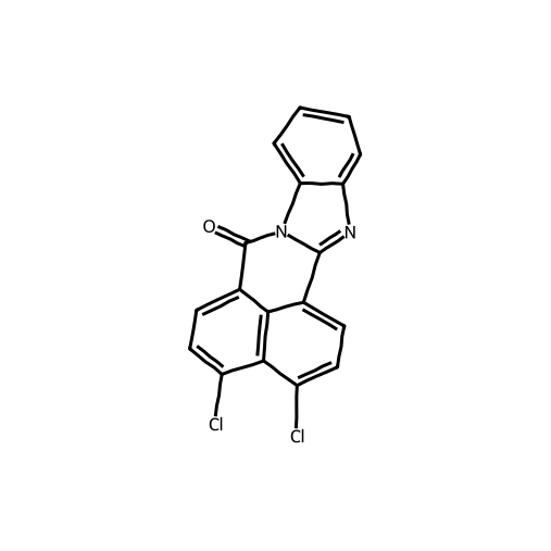 O=c1c2ccc(Cl)c3c(Cl)ccc(c32)c2nc3ccccc3n12